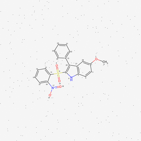 COc1ccc2[nH]c(S(=O)(=O)c3ccccc3[N+](=O)[O-])c(-c3ccccc3)c2c1